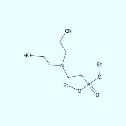 CCOP(=O)(CCN(CCO)CCC#N)OCC